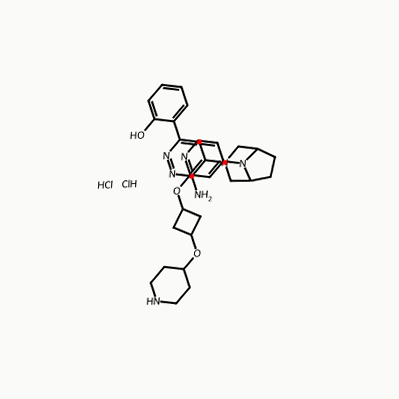 Cl.Cl.Nc1nnc(-c2ccccc2O)cc1N1CC2CCC(C1)N2c1ccnc(OC2CC(OC3CCNCC3)C2)c1